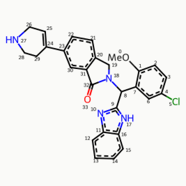 COc1ccc(Cl)cc1C(c1nc2ccccc2[nH]1)N1Cc2ccc(C3=CCNCC3)cc2C1=O